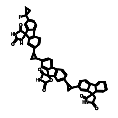 O=C1CC2(C(=O)N1)c1ccccc1-c1ccc(C3CC3c3ccc4c(c3)C3(OC(=O)NC3=O)c3cc(C5CC5c5ccc6c(c5)C5(NC(=O)NC5=O)c5cc(C7(F)CC7)ccc5-6)ccc3-4)cc12